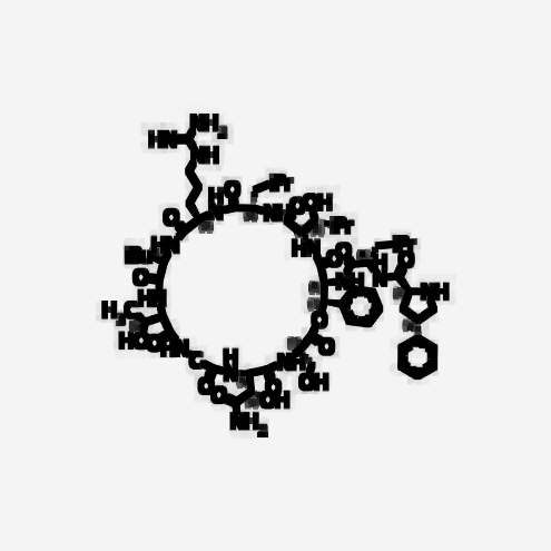 CC[C@H](C)C1NC(=O)[C@@H](CCCNC(=N)N)NC(=O)[C@H](CC(C)C)NC(=O)[C@H]([C@H](O)C(C)C)NC(=O)[C@@H](NC(=O)[C@H](CC(C)C)NC(=O)[C@@H]2C[C@@H](c3ccccc3)CN2)[C@@H](c2ccccc2)OC(=O)[C@H](CO)NC(=O)[C@H]([C@H](O)C(N)=O)NC(=O)CNC(=O)C([C@H](C)O)NC1=O